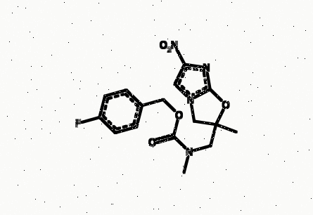 CN(CC1(C)Cn2cc([N+](=O)[O-])nc2O1)C(=O)OCc1ccc(F)cc1